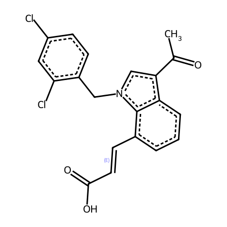 CC(=O)c1cn(Cc2ccc(Cl)cc2Cl)c2c(/C=C/C(=O)O)cccc12